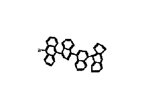 Brc1c2ccccc2c(-c2ccc(-c3ccc(-c4c5ccccc5cc5ccccc45)c4ccccc34)c3ccccc23)c2ccccc12